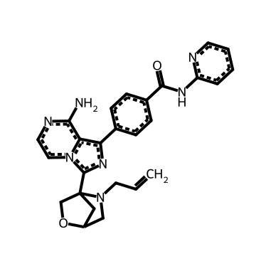 C=CCN1CC2CC1(c1nc(-c3ccc(C(=O)Nc4ccccn4)cc3)c3c(N)nccn13)CO2